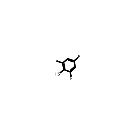 [CH2]c1cc(F)cc(F)c1S